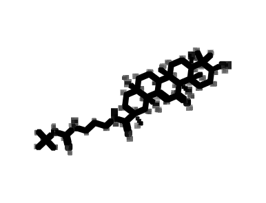 CC(C)(C)OC(=O)NCCCNC(=O)[C@@]1(C)CC[C@@H]2CCC3C(=CC(=O)[C@@H]4[C@@]5(C)CC[C@H](O)C(C)(C)[C@@H]5CC[C@@]34C)[C@@H]2C1